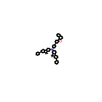 CC1(C)c2cc(-c3ccccc3)ccc2-c2ccc(N(c3ccc(-c4ccc5c(c4)oc4ccc6ccccc6c45)cc3)c3ccc4c(c3)C(C)(C)c3cc(-c5ccccc5)ccc3-4)cc21